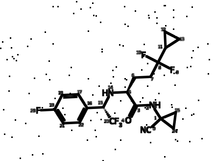 N#CC1(NC(=O)[C@H](CCC(F)(F)C2CC2)N[C@@H](c2ccc(F)cc2)C(F)(F)F)CC1